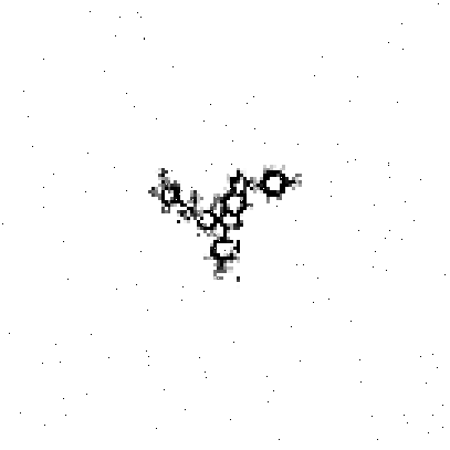 Cc1cc2c(cnn2-c2ccc(F)cc2)cc1C1(Cc2ccc(C(F)(F)F)cn2)CCN(S(=O)(=O)c2cnn(C)c2)C1